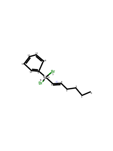 CCCC/C=C/[Si](Br)(Br)c1ccccc1